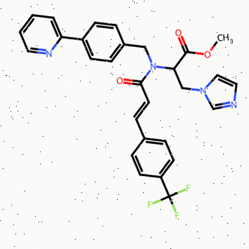 COC(=O)C(Cn1ccnc1)N(Cc1ccc(-c2ccccn2)cc1)C(=O)/C=C/c1ccc(C(F)(F)F)cc1